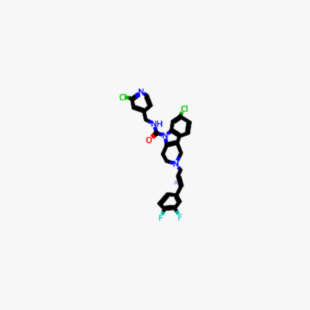 O=C(NCc1ccnc(Cl)c1)n1c2c(c3ccc(Cl)cc31)CN(C/C=C/c1ccc(F)c(F)c1)CC2